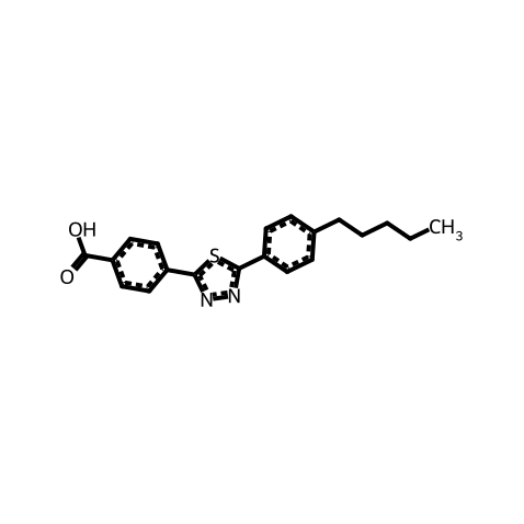 CCCCCc1ccc(-c2nnc(-c3ccc(C(=O)O)cc3)s2)cc1